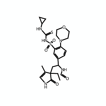 CCC1(CC(NC=O)c2ccc(N3CCOCC3)c(S(=O)(=O)NC(=S)NC3CC3)c2)C(=O)NC=C1C